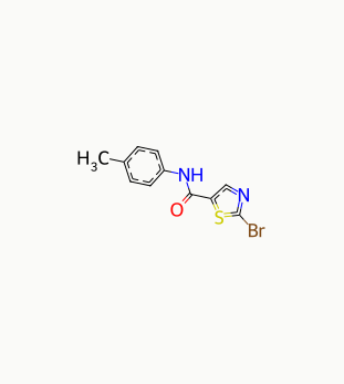 Cc1ccc(NC(=O)c2cnc(Br)s2)cc1